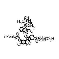 CCCCCOC(=O)COc1cc(N2C(=O)C3=C(CCCC3)C2=O)c(F)cc1Cl.CCc1cccc(C)c1N(C(=O)CCl)C(C)COC.C[S+](C)C.O=C(O)CNCP(=O)([O-])O